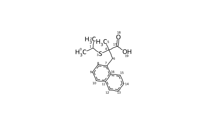 CC(C)SC(C)(Cc1cccc2ccccc12)C(=O)O